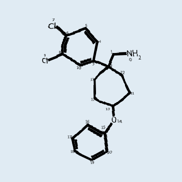 NCC1(c2ccc(Cl)c(Cl)c2)CCC(Oc2ccccc2)CC1